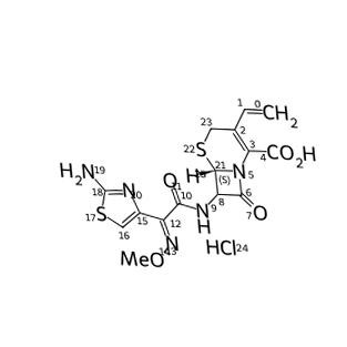 C=CC1=C(C(=O)O)N2C(=O)C(NC(=O)C(=NOC)c3csc(N)n3)[C@@H]2SC1.Cl